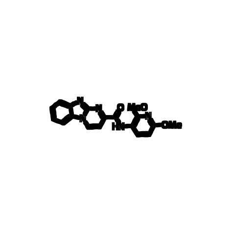 COc1ccc(NC(=O)c2ccn3c(n2)nc2ccccc23)c(OC)n1